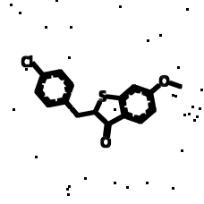 COc1ccc2c(c1)SC(Cc1ccc(Cl)cc1)C2=O